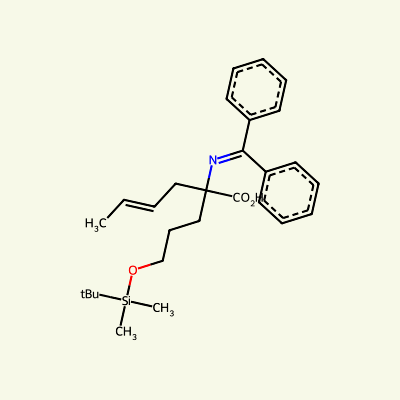 CC=CCC(CCCO[Si](C)(C)C(C)(C)C)(N=C(c1ccccc1)c1ccccc1)C(=O)O